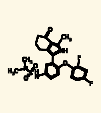 Cc1[nH]c(-c2cc(NS(=O)(=O)N(C)C)ccc2Oc2ccc(F)cc2F)c2c1C(=O)CCC2